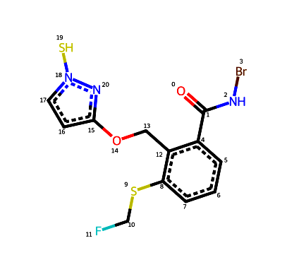 O=C(NBr)c1cccc(SCF)c1COc1ccn(S)n1